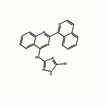 CCc1nc(Nc2nc(-c3nccc4ccccc34)nc3ccccc23)n[nH]1